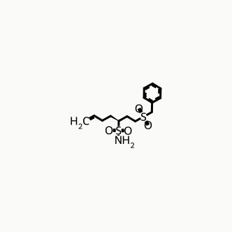 C=CCC[C@@H](CCS(=O)(=O)Cc1ccccc1)S(N)(=O)=O